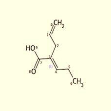 C=CC/C(=C\CC)C(=O)O